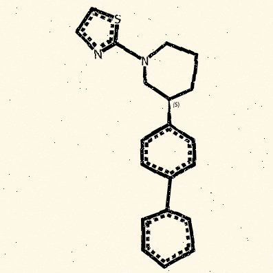 c1ccc(-c2ccc([C@@H]3CCCN(c4nccs4)C3)cc2)cc1